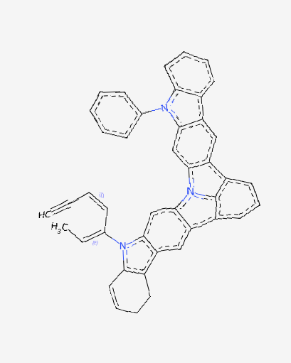 C#C/C=C\C(=C/C)n1c2c(c3cc4c5cccc6c7cc8c9ccccc9n(-c9ccccc9)c8cc7n(c4cc31)c56)CCC=C2